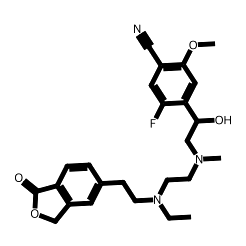 CCN(CCc1ccc2c(c1)COC2=O)CCN(C)CC(O)c1cc(OC)c(C#N)cc1F